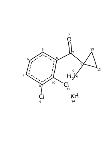 NC1(C(=O)c2cccc(Cl)c2Cl)CC1.[KH]